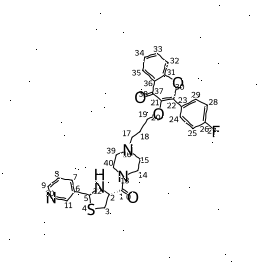 O=C([C@@H]1CSC(c2cccnc2)N1)N1CCN(CCCOc2c(-c3ccc(F)cc3)oc3ccccc3c2=O)CC1